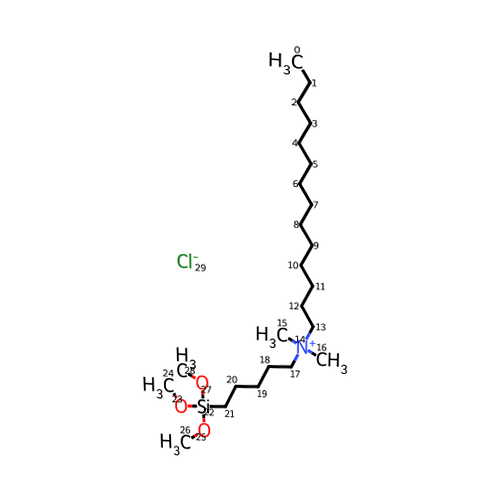 CCCCCCCCCCCCCC[N+](C)(C)CCCCC[Si](OC)(OC)OC.[Cl-]